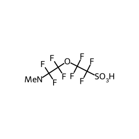 CNC(F)(F)C(F)(F)OC(F)(F)C(F)(F)S(=O)(=O)O